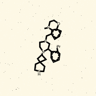 CC(C)c1ccccc1C1CN(Cc2cccc3c2N(C)CCO3)CCN1C1CC2(CCNCC2)C1